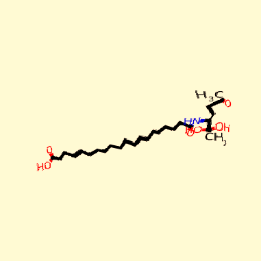 CC(=O)CC[C@H](NC(=O)CCCCCCCCCCCCCCCCCCC(=O)O)C(C)(O)O